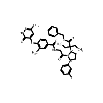 CCC(CC)(C(=O)OCc1ccccc1)[C@H]1CC[C@@H](c2cccc(F)c2)N1C(=O)CNC(=O)c1ccc(Oc2cc(C)n[nH]c2=O)c(C)c1